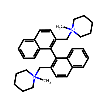 C[N+]1(Cc2ccc3ccccc3c2-c2c(C[N+]3(C)CCCCC3)ccc3ccccc23)CCCCC1